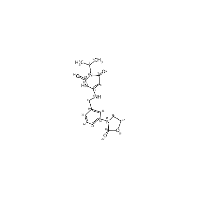 CC(C)n1c(=O)cc(NCc2cccc(N3CCOC3=O)c2)[nH]c1=O